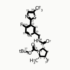 C[C@H]1[C@@H](F)C[C@@H](C(=O)NCc2cc(-c3ncc(C(F)(F)F)s3)c(F)cn2)N1C(=O)OC(C)(C)C